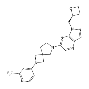 FC(F)(F)c1cc(N2CC3(CCN(c4cnc5cnn(C[C@@H]6CCO6)c5n4)C3)C2)ccn1